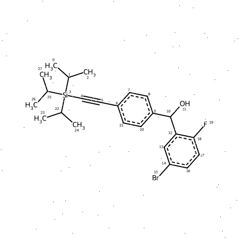 CC(C)[Si](C#Cc1ccc(C(O)c2cc(Br)ccc2F)cc1)(C(C)C)C(C)C